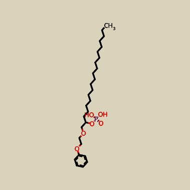 CCCCCCCCCCCCCCCCCCC(COCCOc1ccccc1)OP(=O)(O)O